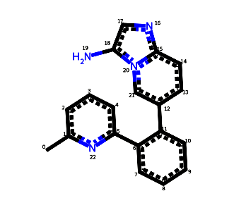 Cc1cccc(-c2ccccc2-c2ccc3ncc(N)n3c2)n1